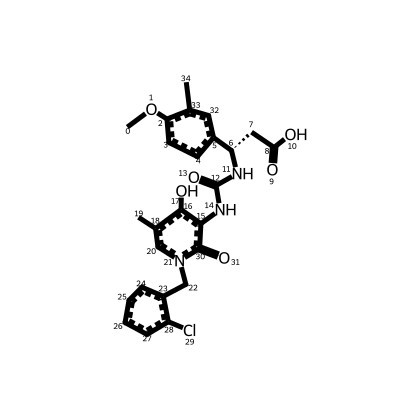 COc1ccc([C@H](CC(=O)O)NC(=O)Nc2c(O)c(C)cn(Cc3ccccc3Cl)c2=O)cc1C